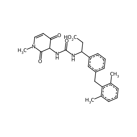 Cc1cccc(C)c1Cc1cccc(C(CC(=O)O)NC(=O)NC2C(=O)C=CN(C)C2=O)c1